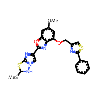 COc1cc(OCc2csc(-c3ccccc3)n2)c2nc(-c3cn4c(n3)SC(SC)N4)oc2c1